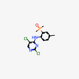 Cc1ccc(Nc2nc(Cl)ncc2Cl)c(P(C)(C)=O)c1